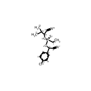 CCP(=S)(OC(C#N)c1ccc(Cl)cc1)OC(C#N)C(C)C